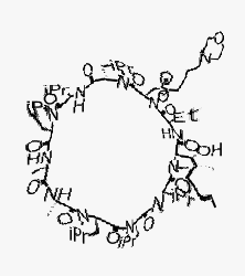 C/C=C/C[C@@H](C)[C@@H](O)[C@@H]1C(=O)N[C@H](CC)C(=O)N(C)[C@H](CS(=O)(=O)CCCN2CCOCC2)C(=O)N(C)[C@@H](CC(C)C)C(=O)N[C@H](C(C)C)C(=O)N(C)[C@H](CC(C)C)C(=O)N[C@H](C)C(=O)N[C@@H](C)C(=O)N(C)[C@H](CC(C)C)C(=O)N(C)[C@H](CC(C)C)C(=O)N(C)[C@H](C(C)C)C(=O)N1C